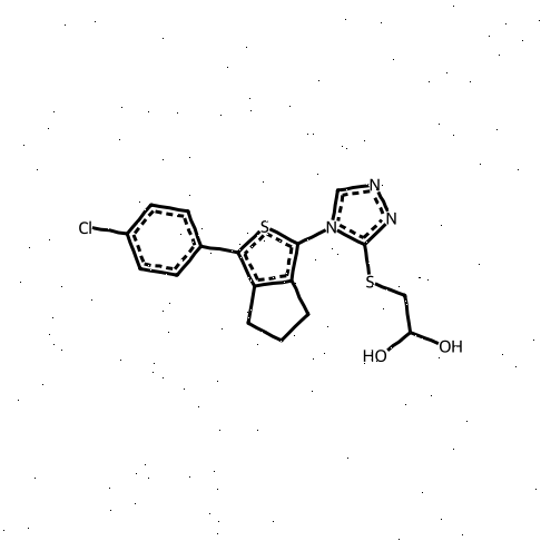 OC(O)CSc1nncn1-c1sc(-c2ccc(Cl)cc2)c2c1CCC2